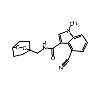 Cn1cc(C(=O)NCC23CCC(CC2)CC3)c2c(C#N)cccc21